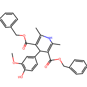 COc1cc(C2C(C(=O)OCc3ccccc3)=C(C)NC(C)=C2C(=O)OCc2ccccc2)ccc1O